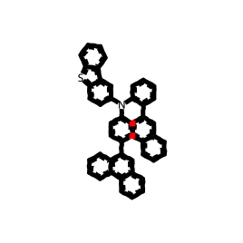 c1ccc(N(c2ccc(-c3cc4ccccc4c4ccccc34)cc2)c2ccc3sc4ccccc4c3c2)c(-c2ccc3ccccc3c2)c1